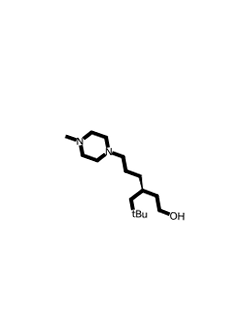 CN1CCN(CCC[C@@H](CCO)CC(C)(C)C)CC1